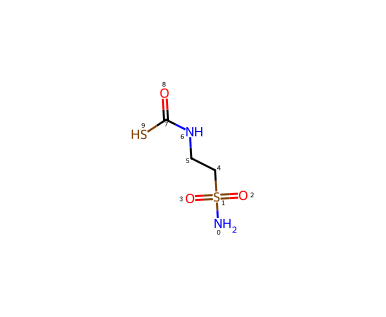 NS(=O)(=O)CCNC(=O)S